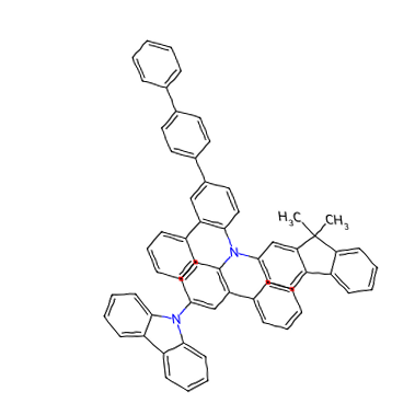 CC1(C)c2ccccc2-c2ccc(N(c3ccc(-c4ccc(-c5ccccc5)cc4)cc3-c3ccccc3)c3ccc(-n4c5ccccc5c5ccccc54)cc3-c3ccccc3)cc21